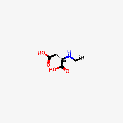 [2H]CN[C@@H](CC(=O)O)C(=O)O